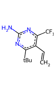 C=Cc1c(C(C)(C)C)nc(N)nc1C(F)(F)F